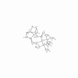 CC(C)(C)C(C)(C(=O)OC1C2CC3C(=O)OC1C3C2)C(C)(C)C